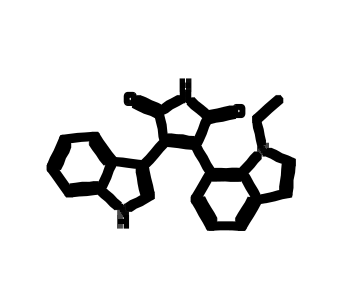 CCn1ccc2cccc(C3=C(c4c[nH]c5ccccc45)C(=O)NC3=O)c21